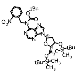 CC(C)(C)OC(=O)N(Cc1ccccc1[N+](=O)[O-])c1ncnc2c1ncn2[C@H]1CC(O[Si](C)(C)C(C)(C)C)[C@@H](CO[Si](C)(C)C(C)(C)C)O1